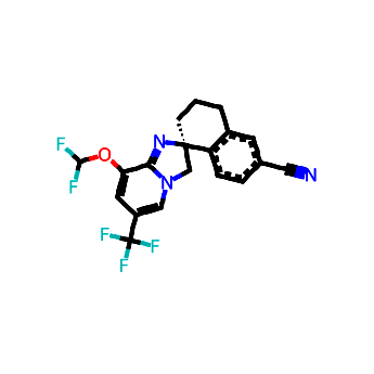 N#Cc1ccc2c(c1)CCC[C@@]21CN2C=C(C(F)(F)F)C=C(OC(F)F)C2=N1